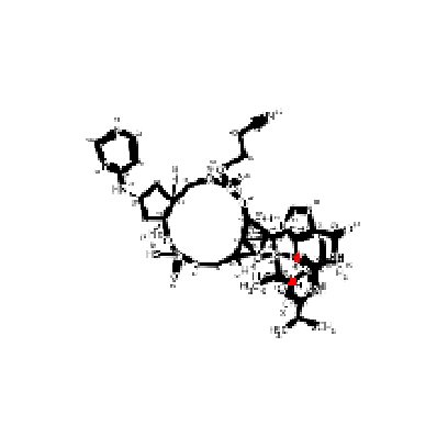 CC(C)C(=O)Nc1nc2c(ncn2[C@@H]2O[C@@H]3COP(=O)(S)O[C@H]4C[C@H](Nc5ccncn5)C[C@@H]4COP(=S)(OCCC#N)O[C@@H]2[C@@H]3O[Si](O[Si](O)(C(C)C)C(C)C)(C(C)C)C(C)C)c(=O)[nH]1